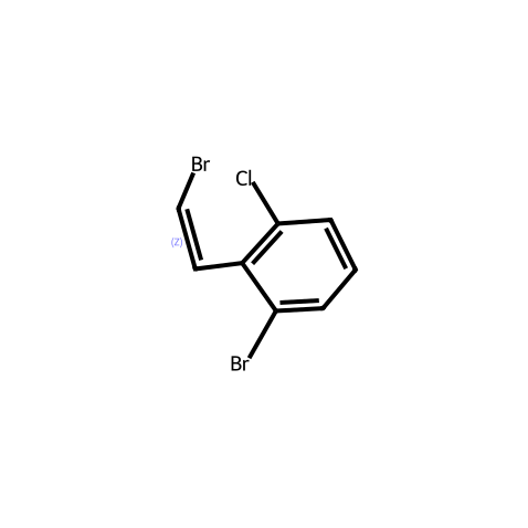 Clc1cccc(Br)c1/C=C\Br